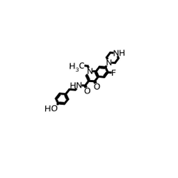 CCn1cc(C(=O)NCCc2ccc(O)cc2)c(=O)c2cc(F)c(N3CCNCC3)cc21